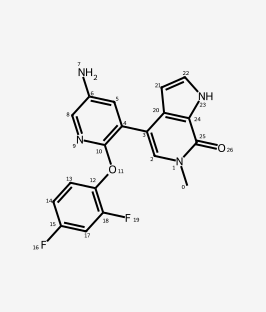 Cn1cc(-c2cc(N)cnc2Oc2ccc(F)cc2F)c2cc[nH]c2c1=O